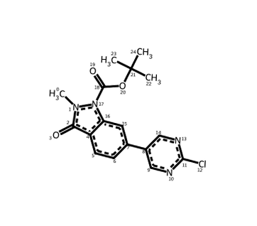 Cn1c(=O)c2ccc(-c3cnc(Cl)nc3)cc2n1C(=O)OC(C)(C)C